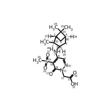 C[C@H]1[C@H]2C[C@H](C[C@H]1Nc1cnn(CC(=O)O)c(=O)c1S(C)(=O)=O)C2(C)C